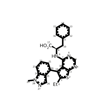 CCc1sc2ncnc(N[C@H](Cc3ccccc3)C(=O)O)c2c1-c1cccc2c1cnn2C